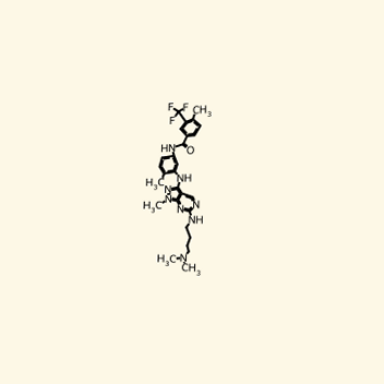 Cc1ccc(NC(=O)c2ccc(C)c(C(F)(F)F)c2)cc1Nc1nn(C)c2nc(NCCCCN(C)C)ncc12